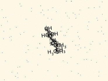 C[C@H](CCCC(C)(C)O)[C@H]1CC[C@H]2/C(=C/C=C3C[C@@H](O)C(OCCCO)[C@H](O)C3)CCC[C@]12C